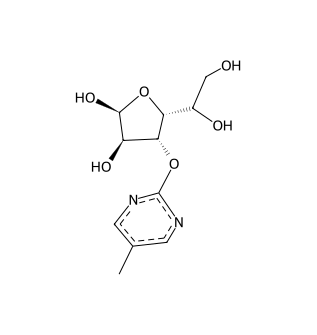 Cc1cnc(O[C@@H]2[C@@H](O)[C@@H](O)O[C@@H]2C(O)CO)nc1